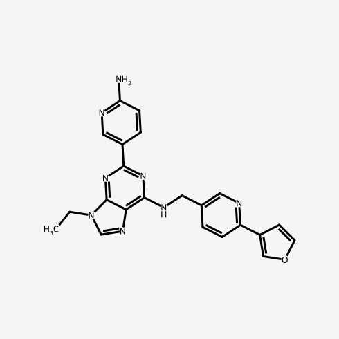 CCn1cnc2c(NCc3ccc(-c4ccoc4)nc3)nc(-c3ccc(N)nc3)nc21